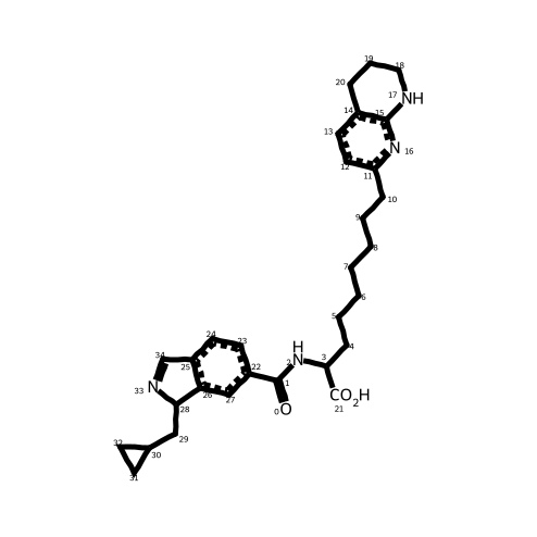 O=C(NC(CCCCCCCc1ccc2c(n1)NCCC2)C(=O)O)c1ccc2c(c1)C(CC1CC1)N=C2